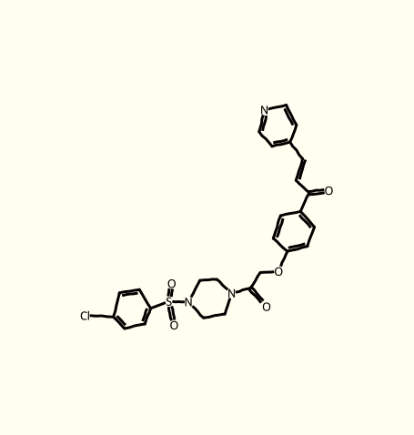 O=C(C=Cc1ccncc1)c1ccc(OCC(=O)N2CCN(S(=O)(=O)c3ccc(Cl)cc3)CC2)cc1